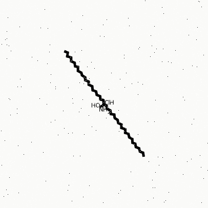 CCCCCCCCCCCCCCCCCCCCCCC(CCCCCCCCCCCCCCCCCCCCCC)C(N)O.Cl